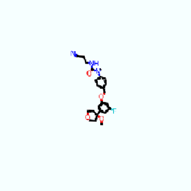 COC1(c2cc(F)cc(OCc3ccc(N(C)C(=O)NCCC#N)cc3)c2)CCOCC1